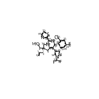 C=CC[C@@]1(CO)CC2=C(c3cnn(C(F)F)c3)[C@H](c3ccc(F)cc3Cl)N=C(c3nccs3)N2C1